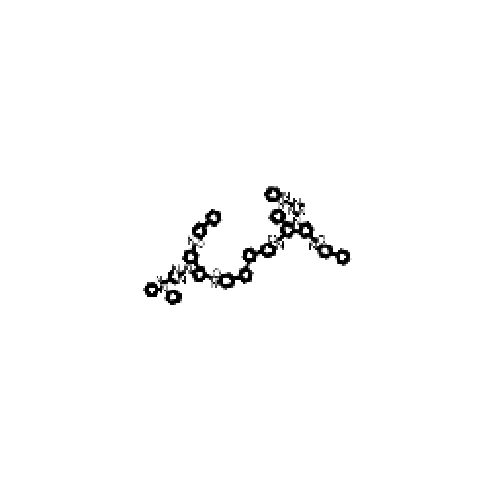 c1ccc(-c2ccc3nc(-c4ccc5c(c4)c4cc(-c6nc7ccc(-c8cccc(-c9cccc(-c%10ccc%11nc(-c%12ccc%13c(c%12)c%12cc(-c%14nc%15ccc(-c%16ccccc%16)cc%15o%14)ccc%12n%13-c%12ncnc(-c%13nc%14ccccc%14n%13-c%13ccccc%13)n%12)oc%11c%10)c9)c8)cc7o6)ccc4n5-c4ncc(-c5nc6ccccc6n5-c5ccccc5)cn4)oc3c2)cc1